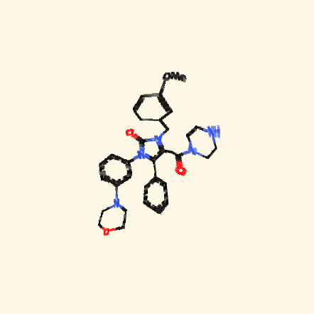 COC1=CC(Cn2c(C(=O)N3CCNCC3)c(-c3ccccc3)n(-c3cccc(N4CCOCC4)c3)c2=O)CC=C1